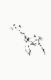 CCOC(=O)c1cnc2c(ccn2COCC[Si](C)(C)C)c1NC1CCCCC1